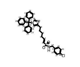 O=S(=O)(C=CCCCCc1cn(C(c2ccccc2)(c2ccccc2)c2ccccc2)cn1)NCc1ccc(Cl)cc1